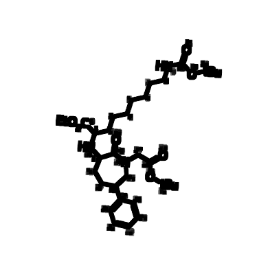 CCOC(=O)C(CCCCCCCNC(=O)OC(C)(C)C)NC1CCC(c2ccccc2)CN(CC(=O)OC(C)(C)C)C1=O